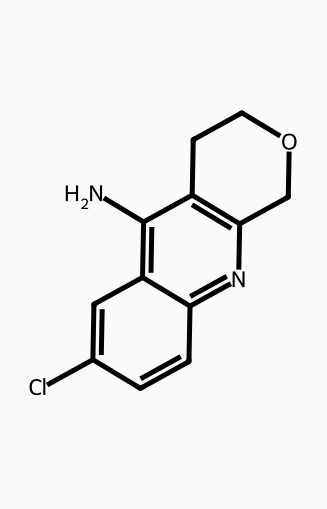 Nc1c2c(nc3ccc(Cl)cc13)COCC2